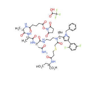 C[C@H](NC(=O)CCCC(=O)ON1C(=O)CCC1=O)C(=O)N[C@H](C)C(=O)N[C@@H](CC(N)=O)C(=O)NCCCN(C(=O)CSCCC(=O)N[C@H](CC(=O)O)C(=O)O)[C@@H](c1cc(-c2cc(F)ccc2F)cn1Cc1ccccc1)C(C)(C)C.O=C(O)C(F)(F)F